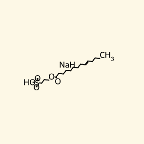 CCCCC=CCCCCCCCC(=O)OCCCS(=O)(=O)O.[NaH]